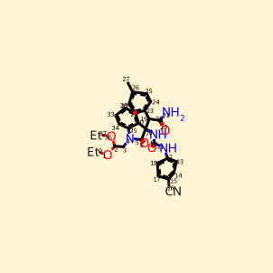 CCOC(CN1C(=O)C(NC(=O)Nc2ccc(C#N)cc2)(C(C(N)=O)c2ccc(C)cc2)c2ccccc21)OCC